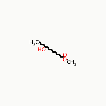 CCCCC(O)CCCCCCCCC(=O)OCC